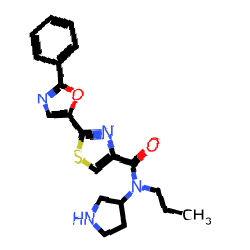 CCCN(C(=O)c1csc(-c2cnc(-c3ccccc3)o2)n1)C1CCNC1